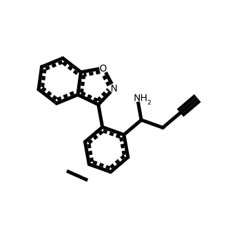 C#CCC(N)c1ccccc1-c1noc2ccccc12.CC